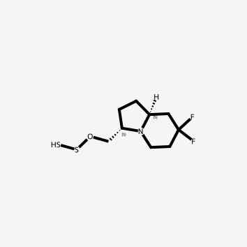 FC1(F)CCN2[C@H](COSS)CC[C@H]2C1